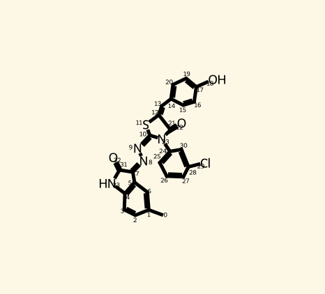 Cc1ccc2c(c1)C(=NN=C1SC(=Cc3ccc(O)cc3)C(=O)N1c1cccc(Cl)c1)C(=O)N2